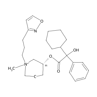 C[N+]1(CCCc2ccon2)CCC[C@@H](OC(=O)C(O)(c2ccccc2)C2CCCCC2)C1